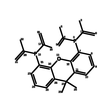 C=C(C)P(C(=C)C)c1cccc2c1Oc1c(P(C(=C)C)C(=C)C)cccc1C2(C)C